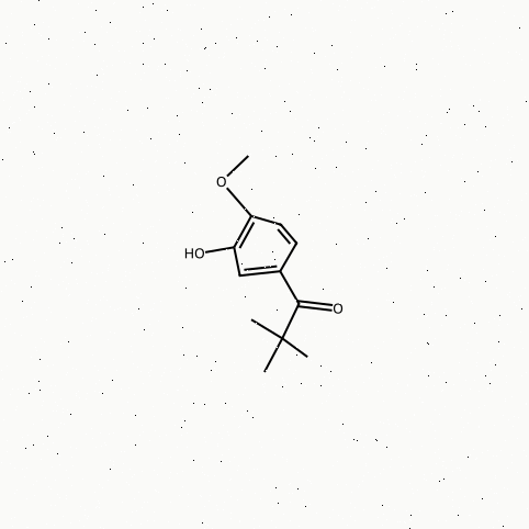 COc1ccc(C(=O)C(C)(C)C)cc1O